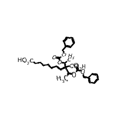 CC(OC(=O)OCc1ccccc1)C(CCCCCCCC(=O)O)(C(=O)O)C(C)OC(=O)OCc1ccccc1